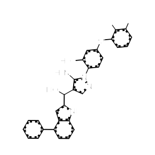 Cc1cc(Oc2cccc(F)c2F)ccc1-n1ncc(C(O)c2cc3c(-c4ccccc4)cccc3[nH]2)c1N